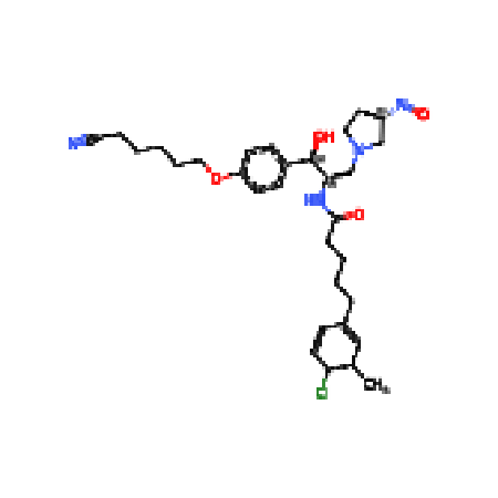 CC1C=C(CCCCC(=O)N[C@H](CN2CC[C@H](N=O)C2)[C@H](O)c2ccc(OCCCCCC#N)cc2)C=CC1Cl